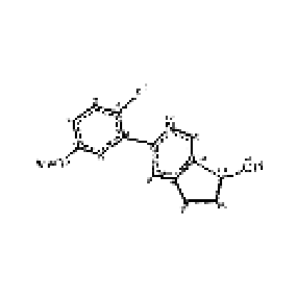 COc1ccc(F)c(-c2cc3c(cn2)C(O)CC3)c1